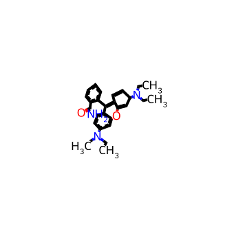 CCN(CC)c1ccc2c(c1)OC1=CC(N(CC)CC)C=CC1=C2c1ccccc1C(N)=O